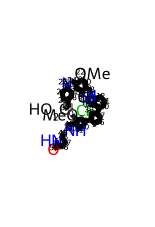 COc1cc(-c2cccc(-c3cccc4c3cnn4Cc3cc(OC)c(CN(C)C4CCC(CC(=O)O)CC4)cc3C(F)(F)F)c2Cl)ccc1CNCC1CCC(=O)N1